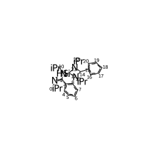 CC(C)/N=C(\c1ccccc1)N(C(C)C)[SiH]1N(C(C)C)C(c2ccccc2)N1C(C)C